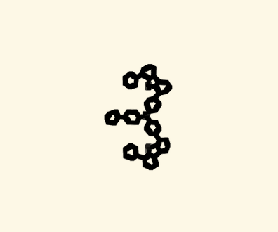 C1=CC(N(c2ccc(-c3cccc4c3sc3c(-c5ccccc5)cccc34)cc2)c2ccc(-c3cccc4c3sc3c(-c5ccccc5)cccc34)cc2)CC=C1c1ccccc1